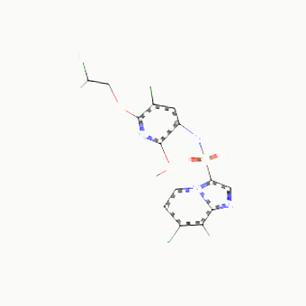 COc1nc(OCC(F)F)c(F)cc1NS(=O)(=O)c1cnc2c(F)c(Cl)ccn12